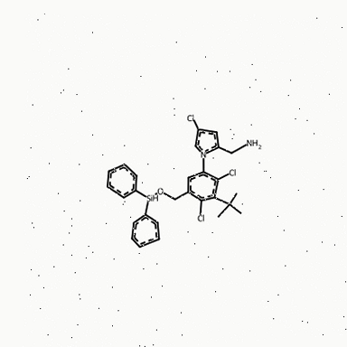 CC(C)(C)c1c(Cl)c(CO[SiH](c2ccccc2)c2ccccc2)cc(-n2cc(Cl)cc2CN)c1Cl